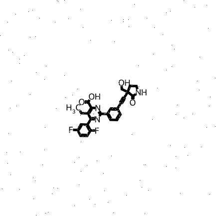 CCc1c(C(=O)O)nc(-c2cccc(C#CC3(CO)CCNC3=O)c2)nc1-c1cc(F)ccc1F